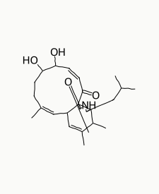 CC1=CC2/C=C(/C)CCC(O)C(O)/C=C\C(=O)C23C(=O)NC(CC(C)C)C3C1C